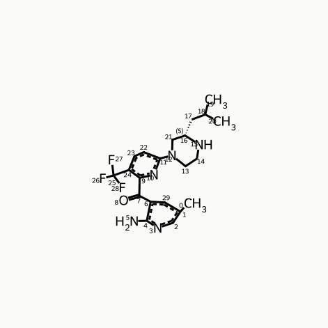 Cc1cnc(N)c(C(=O)c2nc(N3CCN[C@@H](CC(C)C)C3)ccc2C(F)(F)F)c1